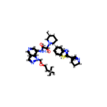 C[C@H]1CC[C@H](c2ccc3sc(C4CN5CCC4C5)nc3c2)N(C(=O)C(=O)Nc2cncc3cnn(COCC[Si](C)(C)C)c23)C1